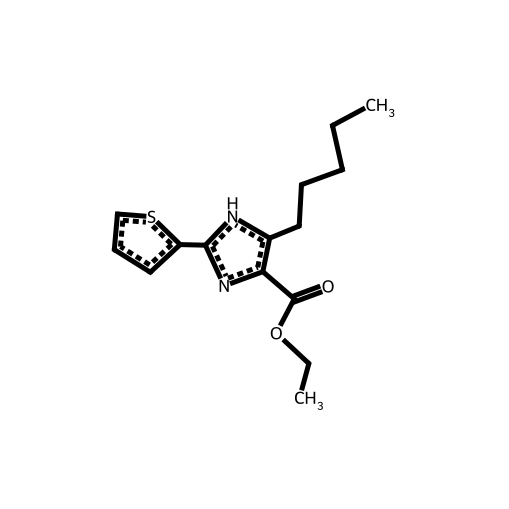 CCCCCc1[nH]c(-c2cccs2)nc1C(=O)OCC